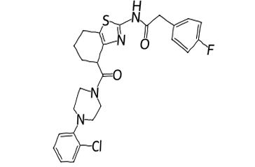 O=C(Cc1ccc(F)cc1)Nc1nc2c(s1)CCCC2C(=O)N1CCN(c2ccccc2Cl)CC1